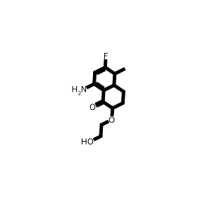 CC1C(F)=CC(N)=C2C(=O)C(OCCO)CCC21